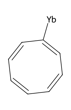 [Yb][C]1=CC=CC=CC=C1